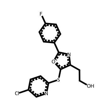 OCCc1nc(-c2ccc(F)cc2)oc1Sc1ccc(Cl)cn1